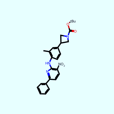 Cc1cc(C2CN(C(=O)OC(C)(C)C)C2)ccc1Nc1nc(-c2ccccc2)ccc1[N+](=O)[O-]